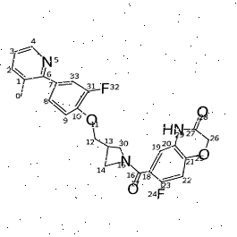 Cc1cccnc1-c1ccc(OCC2CN(C(=O)c3cc4c(cc3F)OCC(=O)N4)C2)c(F)c1